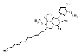 COc1cc(-c2oc3c(OC)c(OC)c(CCCCCCCCCCCCO)cc3c(=O)c2O)ccc1O